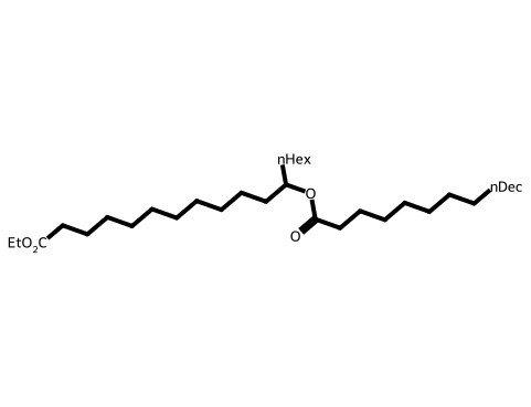 CCCCCCCCCCCCCCCCCC(=O)OC(CCCCCC)CCCCCCCCCCC(=O)OCC